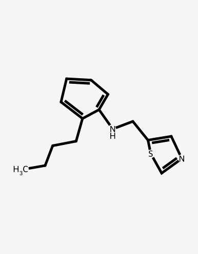 CCCCc1ccccc1NCc1cncs1